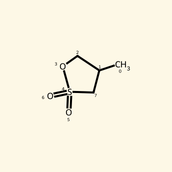 CC1COS(=O)(=O)C1